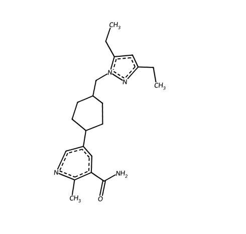 CCc1cc(CC)n(CC2CCC(c3cnc(C)c(C(N)=O)c3)CC2)n1